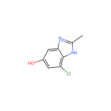 Cc1nc2cc(O)cc(Cl)c2[nH]1